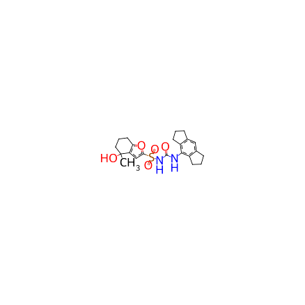 CC1(O)CCCc2oc(S(=O)(=O)NC(=O)Nc3c4c(cc5c3CCC5)CCC4)cc21